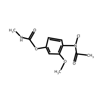 CNC(=O)Oc1ccc(N(Cl)C(C)=O)c(OC)c1